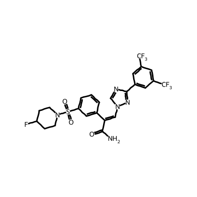 NC(=O)/C(=C/n1cnc(-c2cc(C(F)(F)F)cc(C(F)(F)F)c2)n1)c1cccc(S(=O)(=O)N2CCC(F)CC2)c1